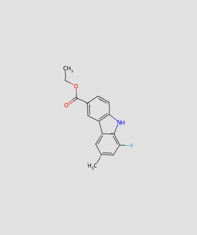 CCOC(=O)c1ccc2[nH]c3c(F)cc(C)cc3c2c1